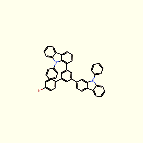 Brc1ccc(-c2cc(-c3ccc4c5ccccc5n(-c5ccccc5)c4c3)cc(-c3cccc4c5ccccc5n(-c5ccccc5)c34)c2)cc1